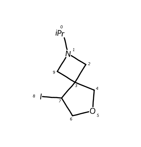 CC(C)N1CC2(COCC2I)C1